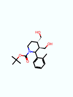 Cc1ccccc1C1[C@H](CO)[C@@H](CO)CCN1C(=O)OC(C)(C)C